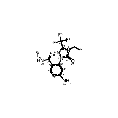 CCn1c(C(F)(F)F)nn(-c2cc(N)ccc2C(=S)NF)c1=O